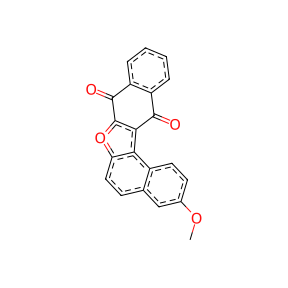 COc1ccc2c(ccc3oc4c(c32)C(=O)c2ccccc2C4=O)c1